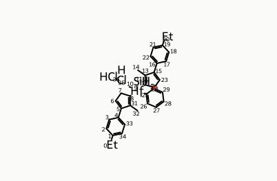 CCc1ccc(C2=CC[C]([Hf]([CH3])(=[SiH2])([C]3=C(C)C(c4ccc(CC)cc4)=CC3)[c]3ccccc3)=C2C)cc1.Cl.Cl